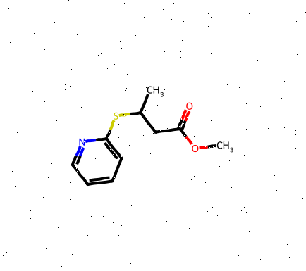 COC(=O)CC(C)Sc1ccccn1